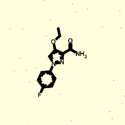 CCOc1cn(-c2ccc(F)cc2)nc1C(N)=O